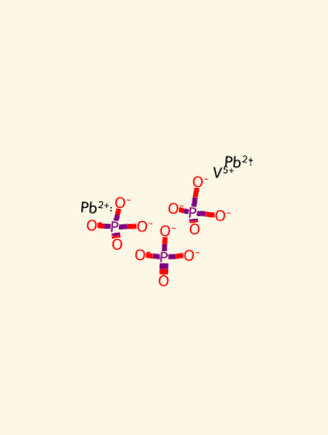 O=P([O-])([O-])[O-].O=P([O-])([O-])[O-].O=P([O-])([O-])[O-].[Pb+2].[Pb+2].[V+5]